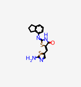 Nc1ncc(C=C2SC(=Nc3cccc4c3CCC4)NC2=O)s1